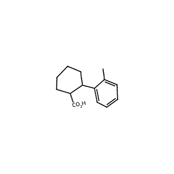 Cc1ccccc1C1CCCCC1C(=O)O